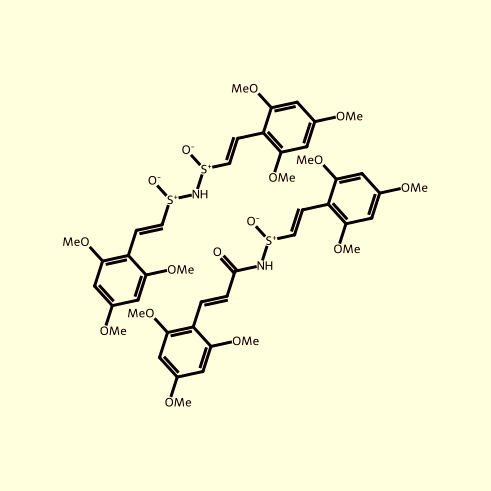 COc1cc(OC)c(C=CC(=O)N[S+]([O-])C=Cc2c(OC)cc(OC)cc2OC)c(OC)c1.COc1cc(OC)c(C=C[S+]([O-])N[S+]([O-])C=Cc2c(OC)cc(OC)cc2OC)c(OC)c1